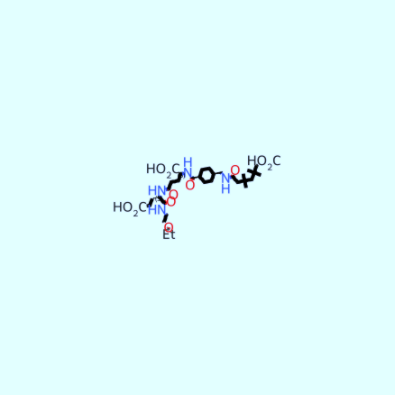 CCOCCNC(=O)[C@H](CCC(=O)O)NC(=O)CC[C@H](NC(=O)[C@H]1CC[C@@H](CNC(=O)CC(C)(C)CC(C)(C)CC(=O)O)CC1)C(=O)O